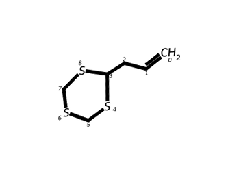 C=CCC1SCSCS1